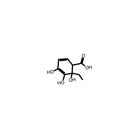 CCC1(O)C(O)=C(O)C=CC1C(=O)O